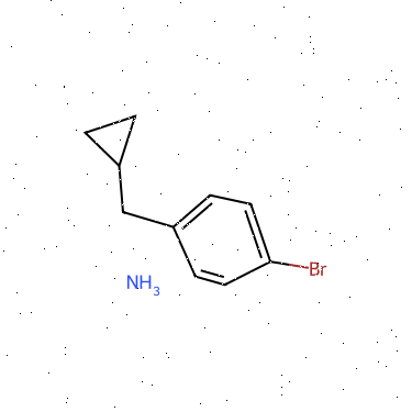 Brc1ccc(CC2CC2)cc1.N